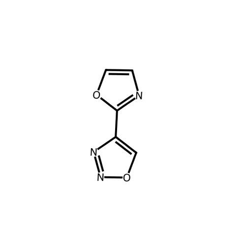 c1coc(-c2conn2)n1